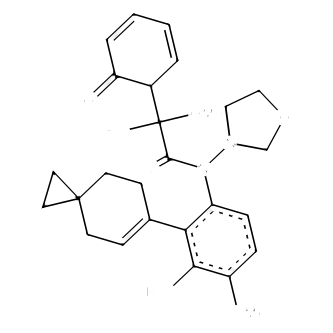 COc1ccc(N(C(=O)C(OC)(C2C=CC=CC2=O)C(F)(F)F)N2CCOC2)c(C2=CCC3(CC2)CC3)c1C